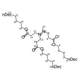 CCCCCCCCCCCCCCOC(=O)CCN(C)N(CCC(=O)OCCCCCCCCCCCCCC)CCC(=O)OCCCCCCCCCCCCCC